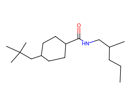 CCCC(C)CNC(=O)C1CCC(CC(C)(C)C)CC1